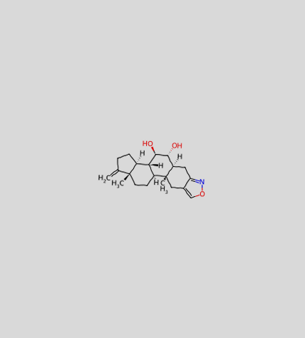 C=C1CC[C@H]2[C@@H]3[C@@H](O)[C@H](O)[C@H]4Cc5nocc5C[C@]4(C)[C@H]3CC[C@]12C